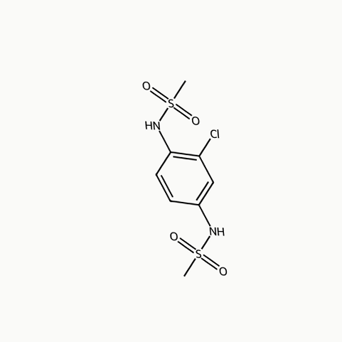 CS(=O)(=O)Nc1ccc(NS(C)(=O)=O)c(Cl)c1